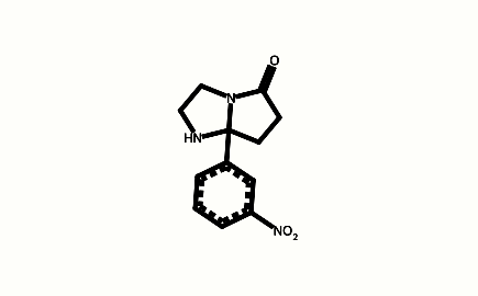 O=C1CCC2(c3cccc([N+](=O)[O-])c3)NCCN12